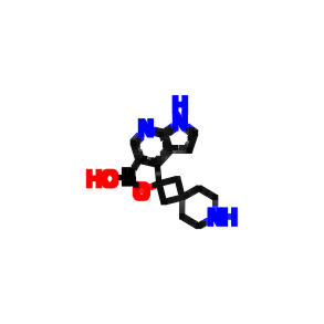 OB1OC2(CC3(CCNCC3)C2)c2c1cnc1[nH]ccc21